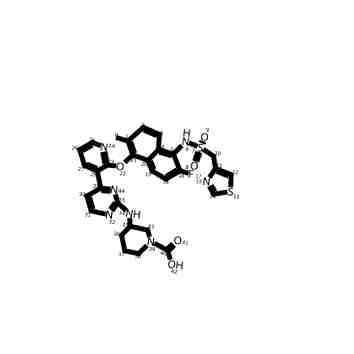 Cc1ccc2c(NS(=O)(=O)Cc3cscn3)c(F)ccc2c1Oc1ncccc1-c1ccnc(NC2CCCN(C(=O)O)C2)n1